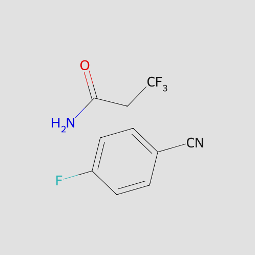 N#Cc1ccc(F)cc1.NC(=O)CC(F)(F)F